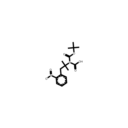 CC(C)(C)OC(=O)N(C(=O)O)C(C)(C)Cc1ccccc1[N+](=O)[O-]